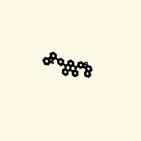 c1ccc2c(c1)B1c3ccccc3N(c3ccc4oc5ccc6ccccc6c5c4c3)c3cccc(c31)N2c1ccc(-c2cccc3c2sc2ccccc23)cc1